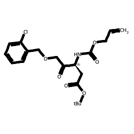 C=CCOC(=O)N[C@@H](CC(=O)OC(C)(C)C)C(=O)COCc1ccccc1Cl